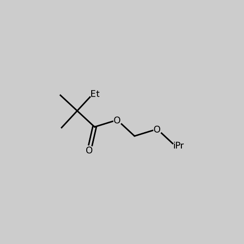 CCC(C)(C)C(=O)OCOC(C)C